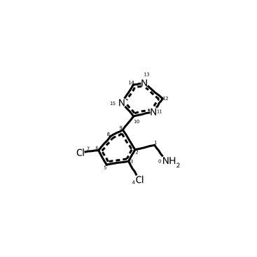 NCc1c(Cl)cc(Cl)cc1-c1ncncn1